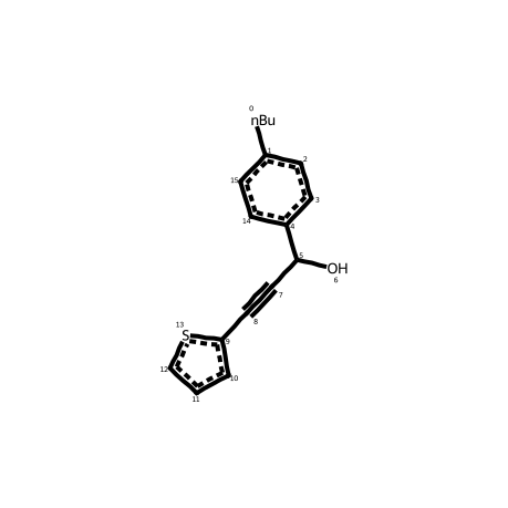 CCCCc1ccc(C(O)C#Cc2cccs2)cc1